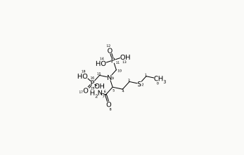 CCSCCC(C(N)=O)N(CP(=O)(O)O)CP(=O)(O)O